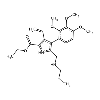 C=Cc1c(C(=O)OCC)[nH]c(CNCCC)c1-c1ccc(OC)c(OC)c1OC